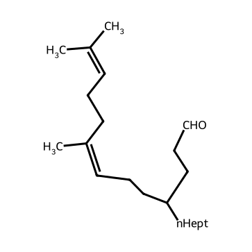 CCCCCCCC(CCC=O)CCC=C(C)CCC=C(C)C